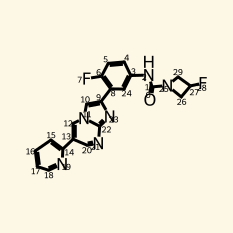 O=C(Nc1ccc(F)c(-c2cn3cc(-c4ccccn4)cnc3n2)c1)N1CC(F)C1